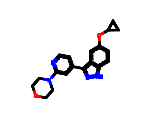 c1cc(-c2n[nH]c3ccc(OC4CC4)cc23)cc(N2CCOCC2)n1